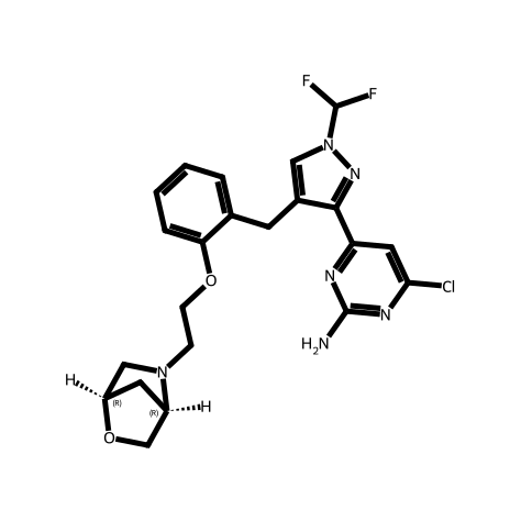 Nc1nc(Cl)cc(-c2nn(C(F)F)cc2Cc2ccccc2OCCN2C[C@H]3C[C@@H]2CO3)n1